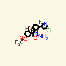 NC1=NC2(CO1)c1cc(-c3cc(Cl)cnc3F)ccc1O[C@H]1CC[C@H](OC(=O)C(F)(F)F)C[C@@H]12